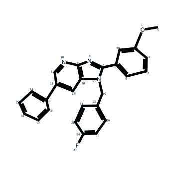 COc1cccc(-c2nc3ncc(-c4ccccc4)cc3n2Cc2ccc(F)cc2)c1